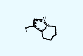 Ic1cnn2c1CCCC2